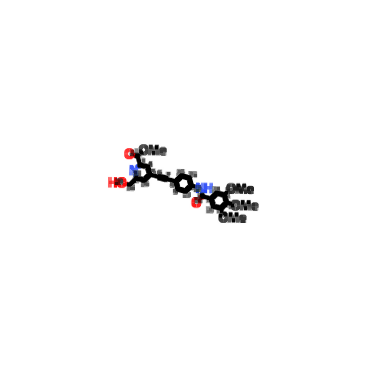 COC(=O)c1cc(C#Cc2ccc(NC(=O)c3cc(OC)c(OC)c(OC)c3)cc2)cc(CO)n1